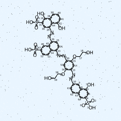 O=S(=O)(O)c1cc(O)c2cc(N=Nc3cc(OCCO)c(N=Nc4ccc(N=Nc5cc(S(=O)(=O)O)c(O)c6cccc(O)c56)c5cc(S(=O)(=O)O)ccc45)cc3OCCO)ccc2c1